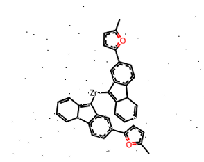 Cc1ccc(-c2ccc3c(c2)[C]([Zr][C]2=C4C=CC=CC4c4ccc(-c5ccc(C)o5)cc42)=C2C=CC=CC23)o1